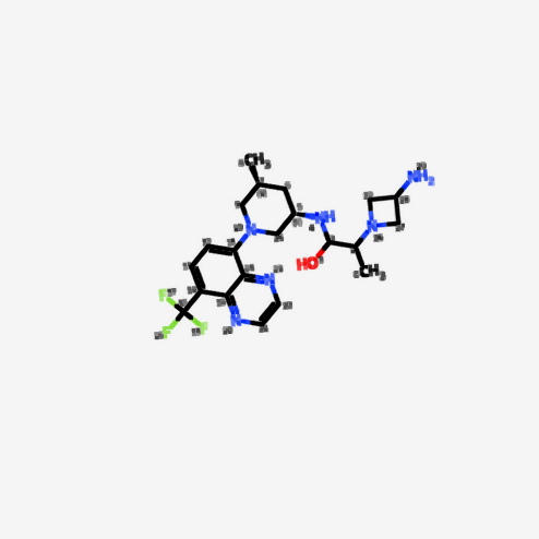 CC(C(O)N[C@@H]1C[C@H](C)CN(c2ccc(C(F)(F)F)c3nccnc23)C1)N1CC(N)C1